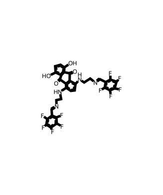 O=C1c2c(O)ccc(O)c2C(=O)c2c(NCCN=Cc3c(F)c(F)c(F)c(F)c3F)ccc(NCCN=Cc3c(F)c(F)c(F)c(F)c3F)c21